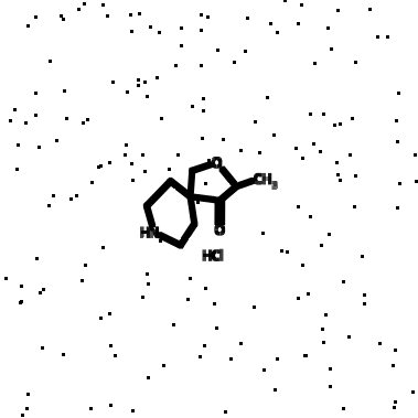 CC1OCC2(CCNCC2)C1=O.Cl